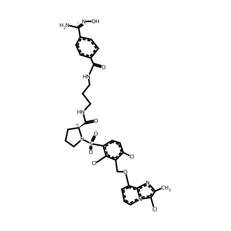 Cc1nc2c(OCc3c(Cl)ccc(S(=O)(=O)N4CCC[C@H]4C(=O)NCCCNC(=O)c4ccc(/C(N)=N\O)cc4)c3Cl)cccn2c1Cl